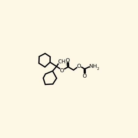 CC(OC(=O)COC(N)=O)(C1CCCCC1)C1CCCCC1